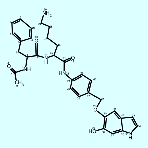 CC(=O)NC(Cc1ccccc1)C(=O)NC(CCCCN)C(=O)Nc1ccc(COc2cc3cc[nH]c3cc2O)cc1